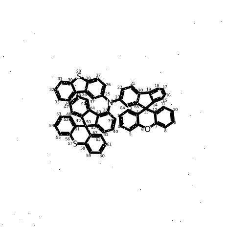 c1ccc2c(c1)Oc1ccccc1C21c2ccccc2-c2ccc(N(c3ccc4sc5ccccc5c4c3)c3cccc4c3-c3ccccc3C43c4ccccc4Sc4ccccc43)cc21